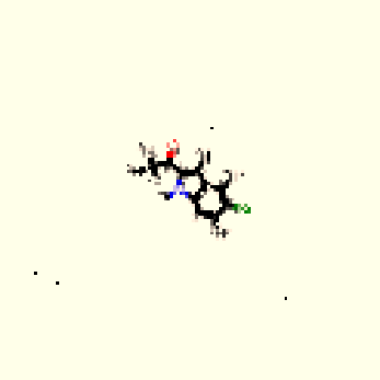 [2H]c1cc2c(c([2H])c1Br)c([2H])c(C(=O)C([2H])([2H])[2H])n2C